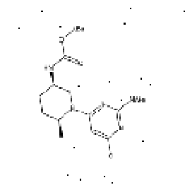 CNc1nc(Cl)cc(N2C[C@H](NC(=O)OC(C)(C)C)CC[C@@H]2C)n1